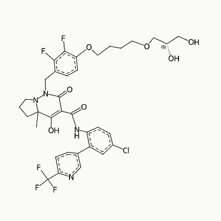 CC12CCCN1N(Cc1ccc(OCCCCOC[C@@H](O)CO)c(F)c1F)C(=O)C(C(=O)Nc1ccc(Cl)cc1-c1ccc(C(F)(F)F)nc1)=C2O